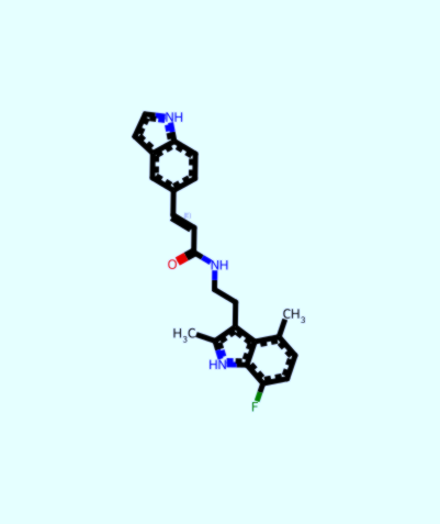 Cc1[nH]c2c(F)ccc(C)c2c1CCNC(=O)/C=C/c1ccc2[nH]ccc2c1